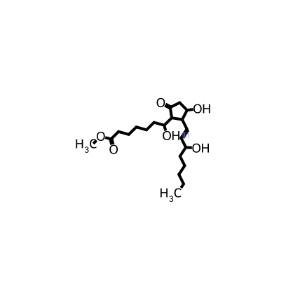 CCCCCC(O)/C=C/C1C(O)CC(=O)C1C(O)CCCCCC(=O)OC